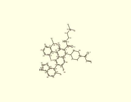 C=CC(=O)N1CCC(c2c(C(=O)NCCN(C)C)c(=O)n(-c3c(C)ccnc3C(C)C)c3nc(-c4c(C)ccc5[nH]ncc45)c(F)cc23)CC1